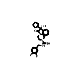 N=C(NCc1ccc(F)c(F)c1)N1CCN(C(=O)C(O)(c2ccccc2)C2CCCC2)CC1